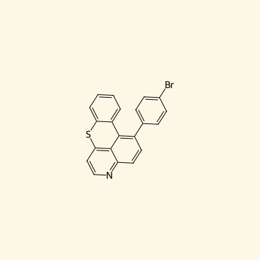 Brc1ccc(-c2ccc3nccc4c3c2-c2ccccc2S4)cc1